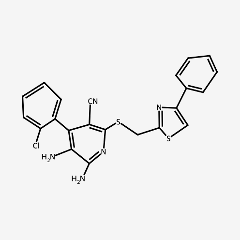 N#Cc1c(SCc2nc(-c3ccccc3)cs2)nc(N)c(N)c1-c1ccccc1Cl